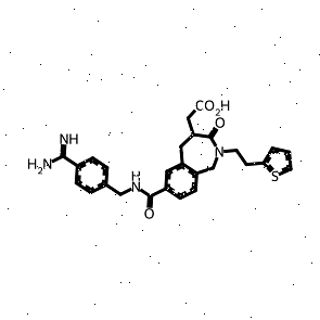 N=C(N)c1ccc(CNC(=O)c2ccc3c(c2)CC(CC(=O)O)C(=O)N(CCc2cccs2)C3)cc1